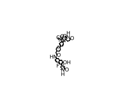 CCn1c(=O)n(C2CCC(=O)NC2=O)c2ccc(N3CCC(CC(=O)Nc4ccc5c(F)c(N6CC(=O)NS6)c(O)cc5c4)CC3)cc21